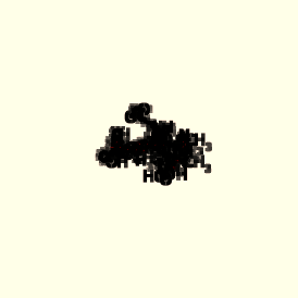 Cc1ncsc1-c1ccc([C@H](C)NC(=O)[C@@H]2C[C@@H](OP(=O)(O)O)CN2C(=O)[C@@H](c2cc(OCCN3CCN(CCOc4cc(N5C6CCC5CN(c5cc(-c7ccccc7O)nnc5NC(=O)OCc5ccc(NC(=O)[C@H](CCCCN(C)C)NC(=O)C7(C(=O)NCCCCCN8C(=O)C=CC8=O)CCC7)cc5)C6)ccn4)[C@H](C)C3)no2)C(C)C)cc1